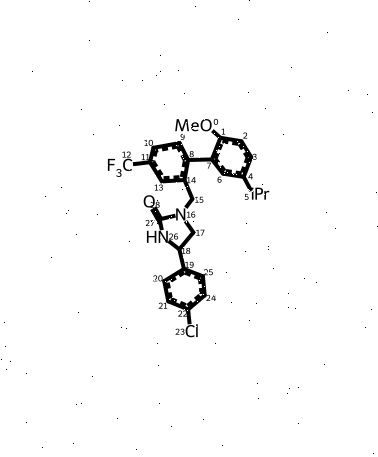 COc1ccc(C(C)C)cc1-c1ccc(C(F)(F)F)cc1CN1CC(c2ccc(Cl)cc2)NC1=O